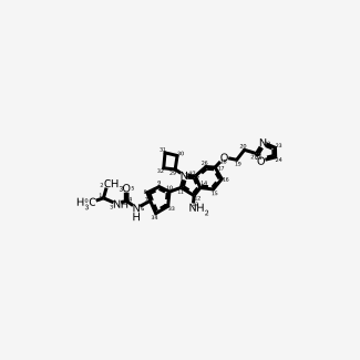 CC(C)NC(=O)Nc1ccc(-c2c(N)c3ccc(OCCc4ncco4)cc3n2C2CCC2)cc1